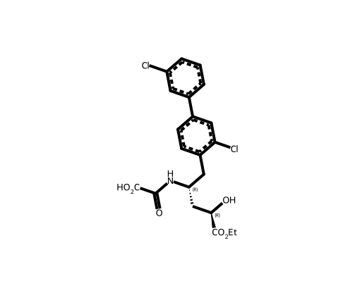 CCOC(=O)[C@H](O)C[C@@H](Cc1ccc(-c2cccc(Cl)c2)cc1Cl)NC(=O)C(=O)O